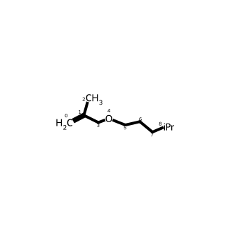 C=C(C)COCCCC(C)C